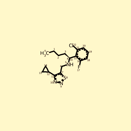 CCCC[C@H](NCc1snnc1C1CC1)c1c(F)cccc1Cl